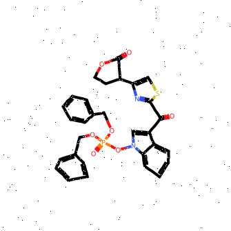 O=C(c1nc(C2CCOC2=O)cs1)c1cn(OP(=O)(OCc2ccccc2)OCc2ccccc2)c2ccccc12